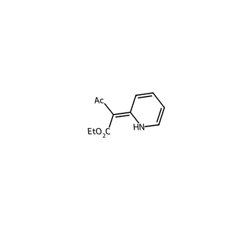 CCOC(=O)/C(C(C)=O)=C1/C=CC=CN1